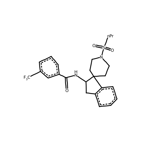 CCCS(=O)(=O)N1CCC2(CC1)c1ccccc1CC2NC(=O)c1cccc(C(F)(F)F)c1